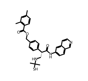 Cc1ccc(C(=O)OCc2ccc([C@@H](CNC(C)(C)S)C(=O)Nc3ccc4cnccc4c3)cc2)c(C)c1